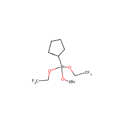 CC(C)(C)O[Si](OCC(F)(F)F)(OCC(F)(F)F)C1CCCC1